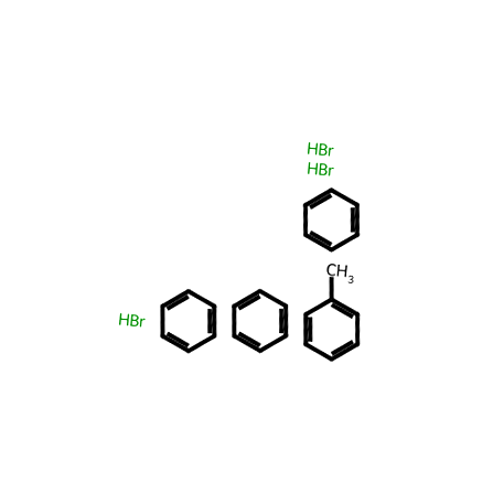 Br.Br.Br.Cc1ccccc1.c1ccccc1.c1ccccc1.c1ccccc1